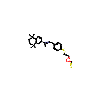 C/C(=C\c1ccc(SCCOC=S)cc1)c1ccc2c(c1)C(C)(C)CCC2(C)C